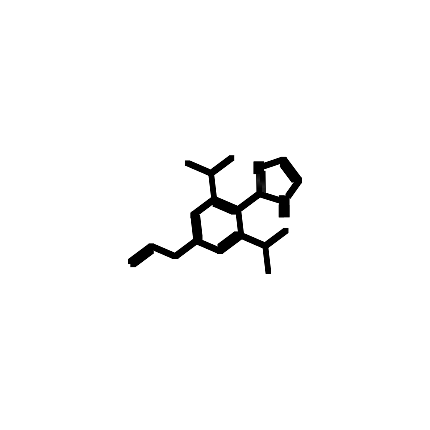 C=CCc1cc(C(C)C)c(-c2ncc[nH]2)c(C(C)C)c1